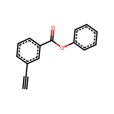 [C]#Cc1cccc(C(=O)Oc2ccccc2)c1